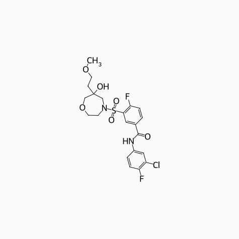 COCCC1(O)COCCN(S(=O)(=O)c2cc(C(=O)Nc3ccc(F)c(Cl)c3)ccc2F)C1